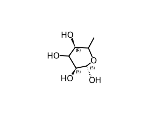 CC1O[C@H](O)[C@@H](O)C(O)[C@H]1O